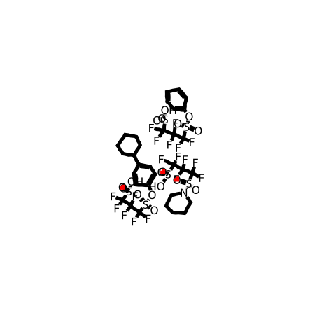 O=S(=O)(O)C(F)(F)C(F)(F)C(F)(F)S(=O)(=O)N1CCCCC1.O=S(=O)(O)C(F)(F)C(F)(F)C(F)(F)S(=O)(=O)Oc1ccc(C2CCCCC2)cc1.O=S(=O)(O)C(F)(F)C(F)(F)C(F)(F)S(=O)(=O)Oc1ccccc1